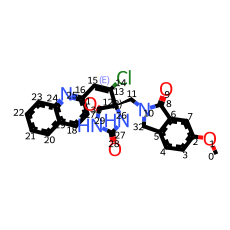 COc1ccc2c(c1)C(=O)N(C[C@@]1(/C(Cl)=C\c3ccc4ccccc4n3)NC(=O)NC1=O)C2